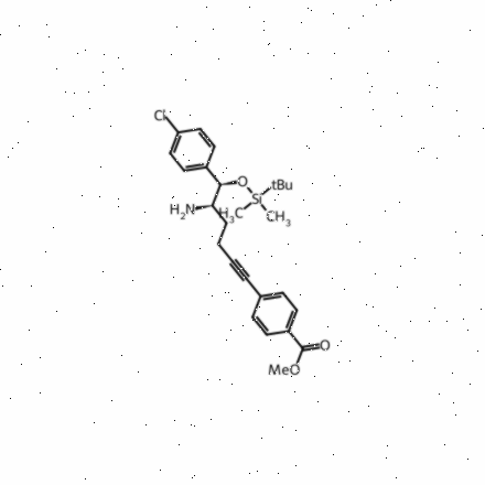 COC(=O)c1ccc(C#CCC[C@@H](N)[C@H](O[Si](C)(C)C(C)(C)C)c2ccc(Cl)cc2)cc1